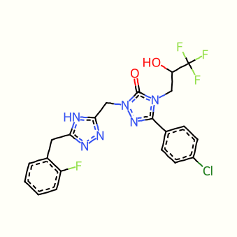 O=c1n(Cc2nnc(Cc3ccccc3F)[nH]2)nc(-c2ccc(Cl)cc2)n1CC(O)C(F)(F)F